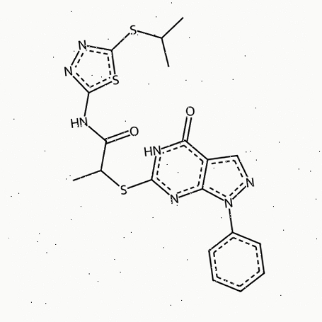 CC(C)Sc1nnc(NC(=O)C(C)Sc2nc3c(cnn3-c3ccccc3)c(=O)[nH]2)s1